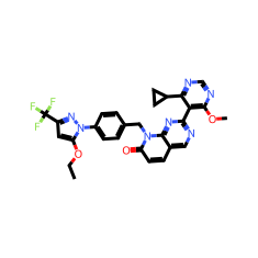 CCOc1cc(C(F)(F)F)nn1-c1ccc(Cn2c(=O)ccc3cnc(-c4c(OC)ncnc4C4CC4)nc32)cc1